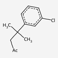 CC(=O)CC(C)(C)c1cccc(Cl)c1